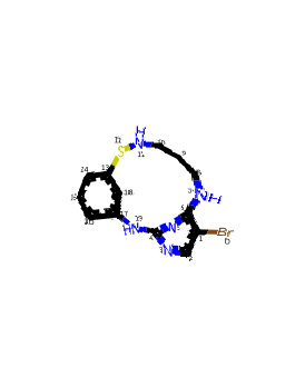 Brc1cnc2nc1NCCCNSc1cccc(c1)N2